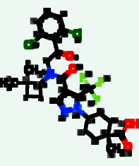 CC1(C)CC[C@@H]1N(CC(=O)c1c(Cl)cccc1Cl)C(=O)c1cnn([C@H]2CC[C@](C)(C(=O)O)CC2)c1C(F)(F)F